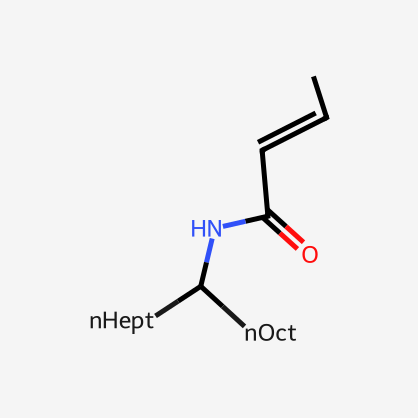 C/C=C/C(=O)NC(CCCCCCC)CCCCCCCC